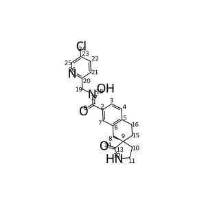 O=C(c1ccc2c(c1)C[C@]1(CCNC1=O)CC2)N(O)Cc1ccc(Cl)cn1